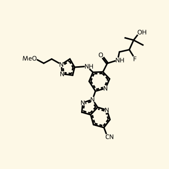 COCCn1cc(Nc2cc(-n3ncc4cc(C#N)cnc43)ncc2C(=O)NCC(F)C(C)(C)O)cn1